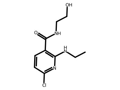 CCNc1nc(Cl)ccc1C(=O)NCCO